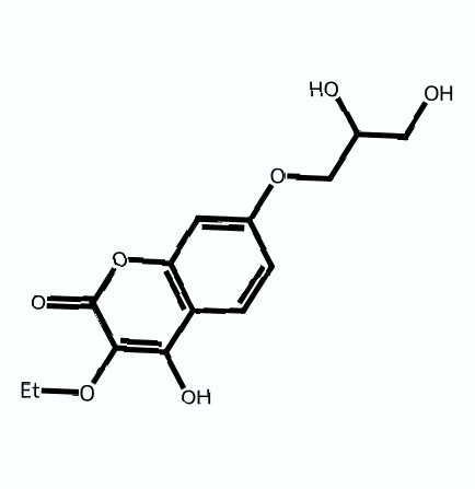 CCOc1c(O)c2ccc(OCC(O)CO)cc2oc1=O